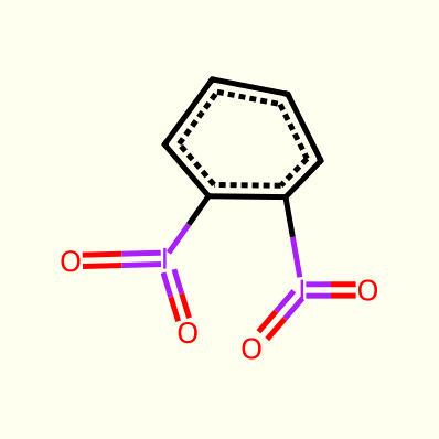 O=I(=O)c1ccccc1I(=O)=O